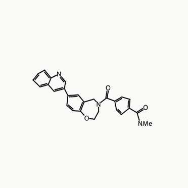 CNC(=O)c1ccc(C(=O)N2CCOc3ccc(-c4cnc5ccccc5c4)cc3C2)cc1